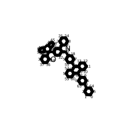 c1ccc(-c2ccc(-c3c4ccccc4c(-c4ccc(-c5nc6ccccc6c6cc7c(cc56)Oc5ccccc5C75c6ccccc6-c6ccccc65)cc4)c4ccccc34)cc2)cc1